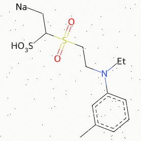 CCN(CCS(=O)(=O)C([CH2][Na])S(=O)(=O)O)c1cccc(C)c1